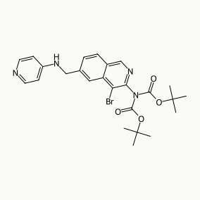 CC(C)(C)OC(=O)N(C(=O)OC(C)(C)C)c1ncc2ccc(CNc3ccncc3)cc2c1Br